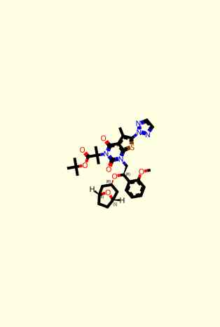 COc1ccccc1[C@H](Cn1c(=O)n(C(C)(C)C(=O)OC(C)(C)C)c(=O)c2c(C)c(-n3nccn3)sc21)O[C@H]1C[C@H]2CC[C@@H](C1)O2